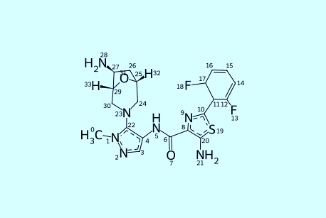 Cn1ncc(NC(=O)c2nc(C3C(F)=CC=CC3F)sc2N)c1N1C[C@H]2C[C@H](N)[C@@H](C1)O2